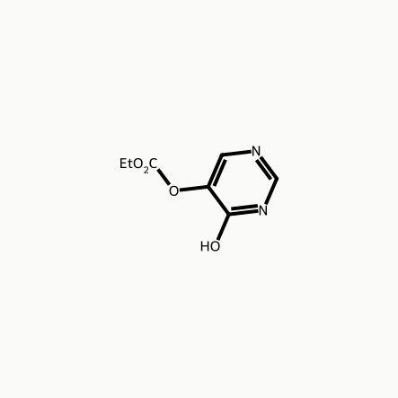 CCOC(=O)Oc1cncnc1O